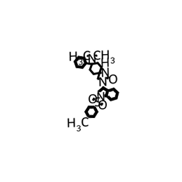 Cc1ccc(S(=O)(=O)n2cc(N3CC4(CCC(c5ccccc5)(N(C)C)CC4)NC3=O)c3ccccc32)cc1